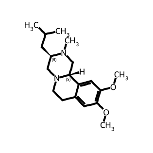 COc1cc2c(cc1OC)[C@H]1CN(C)[C@H](CC(C)C)CN1CC2